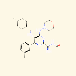 Cc1cccc(-c2nc(C(=N)NC=O)nc(NN3CCOCC3)c2NC[C@H]2CC[C@H](C)CC2)c1